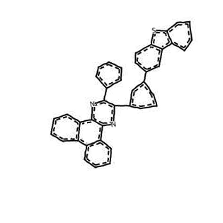 c1ccc(-c2nc3c4ccccc4c4ccccc4c3nc2-c2cccc(-c3ccc4sc5ccccc5c4c3)c2)cc1